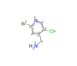 NCc1cc(Br)ncc1Cl